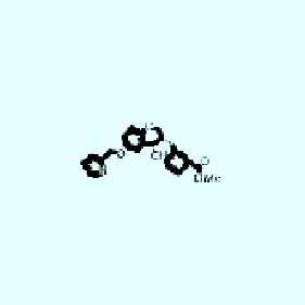 COC(=O)c1cccc(C[C@H]2COc3ccc(OCc4ccccn4)cc3[C@H]2O)c1